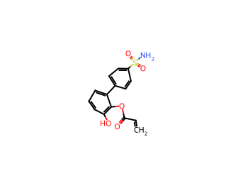 C=CC(=O)Oc1c(O)cccc1-c1ccc(S(N)(=O)=O)cc1